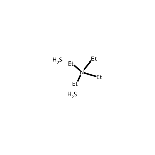 CC[N+](CC)(CC)CC.S.S